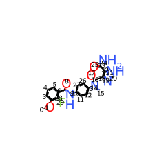 COc1cccc(C(=O)Nc2ccc(N(C)C(=O)c3nc[nH]c3C(N)=O)cc2)c1F